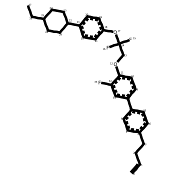 C=CCCc1ccc(-c2ccc(OCC(F)(F)Oc3ccc(C4CCC(CC)CC4)cc3)c(F)c2)cc1